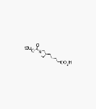 CC(C)(C)OC(=O)N1CCC(CCCCC(=O)O)C1